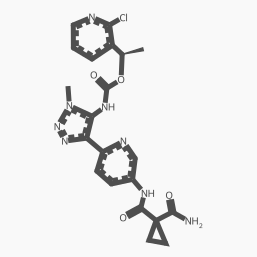 C[C@@H](OC(=O)Nc1c(-c2ccc(NC(=O)C3(C(N)=O)CC3)cn2)nnn1C)c1cccnc1Cl